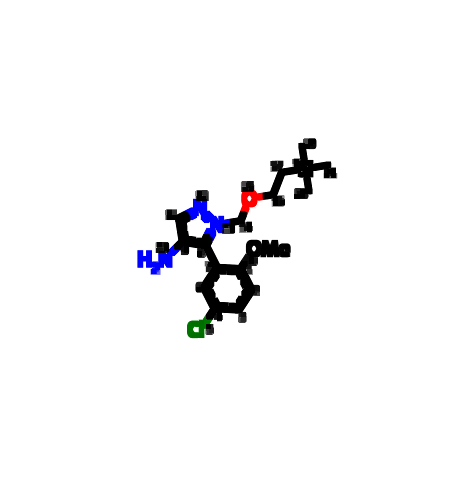 COc1ccc(Cl)cc1-c1c(N)cnn1COCC[Si](C)(C)C